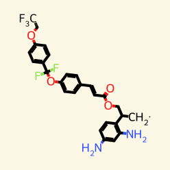 [CH2]C(COC(=O)/C=C/c1ccc(OC(F)(F)c2ccc(OCC(F)(F)F)cc2)cc1)c1ccc(N)cc1N